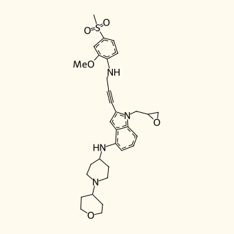 COc1cc(S(C)(=O)=O)ccc1NCC#Cc1cc2c(NC3CCN(C4CCOCC4)CC3)cccc2n1CC1CO1